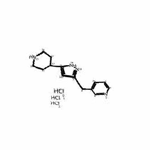 Cl.Cl.Cl.c1cncc(Cc2cc(C3CCNCC3)[nH]n2)c1